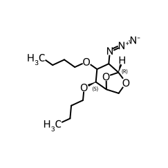 CCCCOC1C(N=[N+]=[N-])[C@@H]2OCC(O2)[C@H]1OCCCC